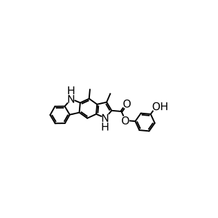 Cc1c(C(=O)Oc2cccc(O)c2)[nH]c2cc3c([nH]c4ccccc43)c(C)c12